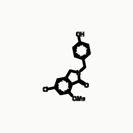 COc1cc(Cl)cc2c1C(=O)N(Cc1ccc(O)cc1)C2